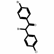 O=C(c1ccc(Br)cc1)C(Br)c1ccc(Cl)cc1